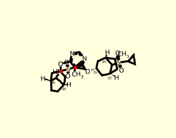 Cc1c(OC2C[C@H]3CC[C@H](C2)C3NS(=O)(=O)C2CC2)ncnc1O[C@H]1C[C@@H]2C[C@H](C)[C@@H](C1)C2S(=O)(=O)C1CC1